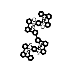 c1cc2c3c(c1)-c1cccc4c5ccccc5n(c14)B3c1cc3c(cc1O2)B1c2c(cccc2-c2cccc4c5cc(-c6ccc7c(c6)c6cccc8c6n7B6c7cc9c(cc7Sc7cccc-8c76)B6c7c(cccc7-c7cccc8c%10ccccc%10n6c78)S9)ccc5n1c24)O3